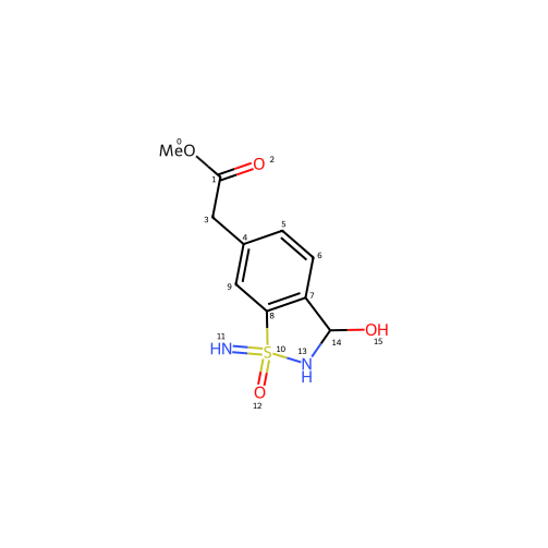 COC(=O)Cc1ccc2c(c1)S(=N)(=O)NC2O